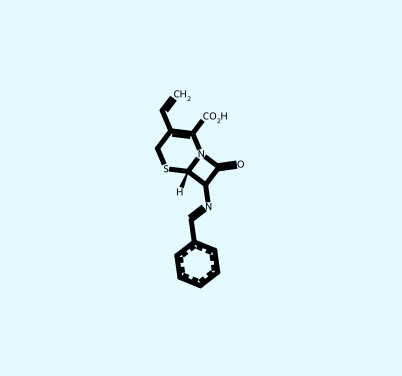 C=CC1=C(C(=O)O)N2C(=O)C(N=Cc3ccccc3)[C@@H]2SC1